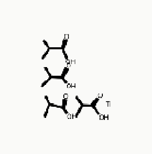 CC(C)C(=O)O.CC(C)C(=O)O.CC(C)C(=O)O.CC(C)C(=O)O.[Ti]